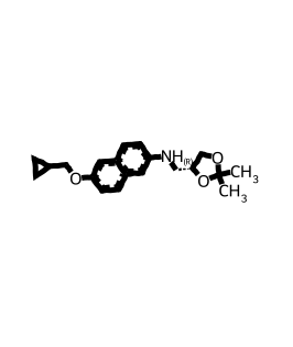 CC1(C)OC[C@@H](CNc2ccc3cc(OCC4CC4)ccc3c2)O1